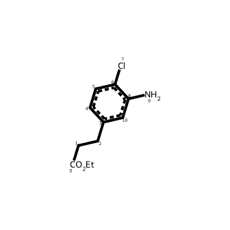 CCOC(=O)CCc1ccc(Cl)c(N)c1